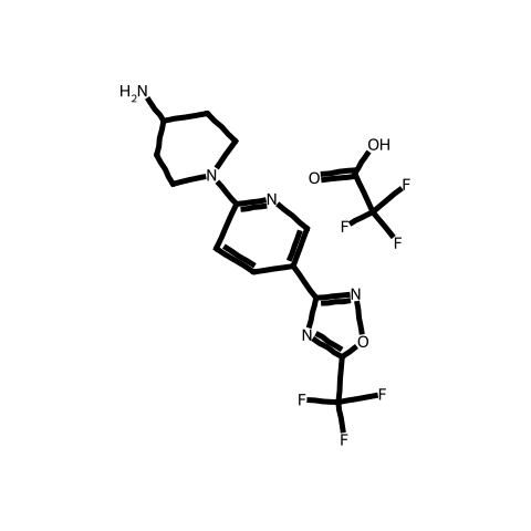 NC1CCN(c2ccc(-c3noc(C(F)(F)F)n3)cn2)CC1.O=C(O)C(F)(F)F